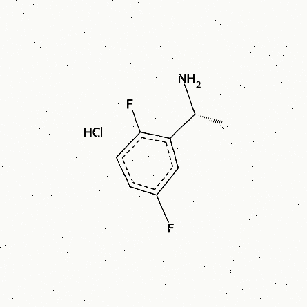 C[C@@H](N)c1cc(F)ccc1F.Cl